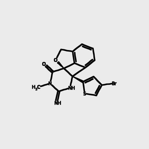 CN1C(=N)N[C@@]2(c3cc(Br)cs3)c3cccc4c3[C@@]2(OC4)C1=O